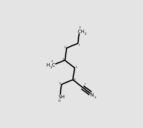 CCCC(C)CC(C#N)CS